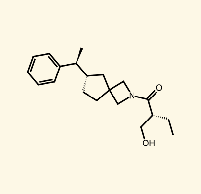 CC[C@H](CO)C(=O)N1CC2(CC[C@H]([C@H](C)c3ccccc3)C2)C1